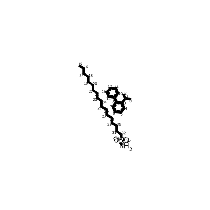 CC(C)c1ccccc1-c1ccccc1.CCCCCCCCCCCCCCCCCCS(N)(=O)=O